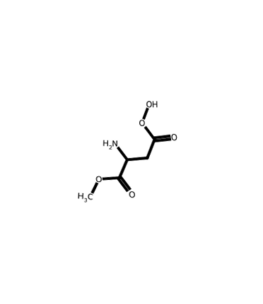 COC(=O)C(N)CC(=O)OO